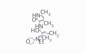 C=C/C=C(\C(C)=C\N(CC)C1CCOCC1)C(O)NCc1c(C)cc(C)[nH]c1=O